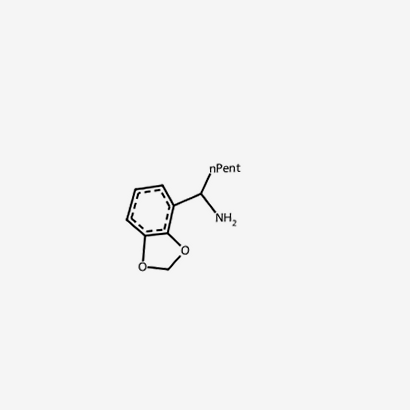 CCCCCC(N)c1cccc2c1OCO2